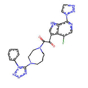 O=C(C(=O)N1CCCN(c2nnnn2-c2ccccc2)CC1)c1c[nH]c2c(-n3ccnn3)ncc(F)c12